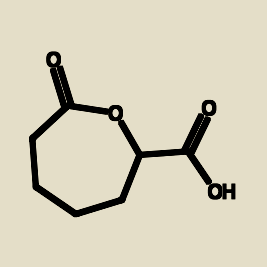 O=C1CCCCC(C(=O)O)O1